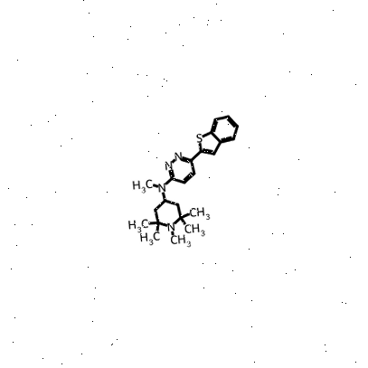 CN(c1ccc(-c2cc3ccccc3s2)nn1)C1CC(C)(C)N(C)C(C)(C)C1